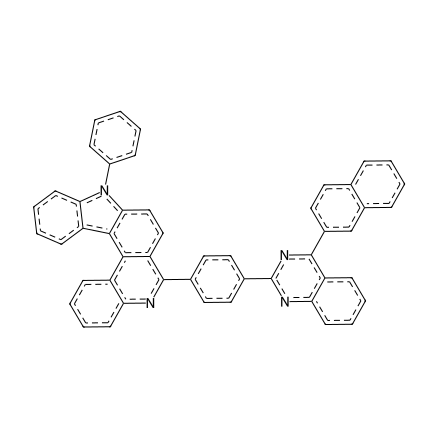 c1ccc(-n2c3ccccc3c3c4c(ccc32)c(-c2ccc(-c3nc(-c5ccc6ccccc6c5)c5ccccc5n3)cc2)nc2ccccc24)cc1